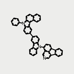 c1ccc(-n2c3ccc(-c4ccc5c(c4)c4ccccc4n5-c4ccc5c6c(cncc46)-c4ccccc4-5)cc3c3c4ccccc4ccc32)cc1